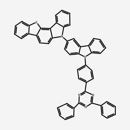 c1ccc(-c2nc(-c3ccccc3)nc(-c3ccc(-n4c5ccccc5c5cc(-n6c7ccccc7c7c8sc9ccccc9c8ccc76)ccc54)cc3)n2)cc1